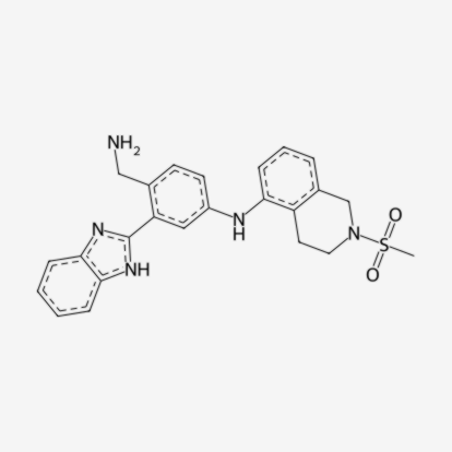 CS(=O)(=O)N1CCc2c(cccc2Nc2ccc(CN)c(-c3nc4ccccc4[nH]3)c2)C1